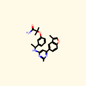 Cc1nc(NC(C)c2cccc(OC(C)(C)C(N)=O)c2)cc(-c2ccc3occ(C)c3c2)n1